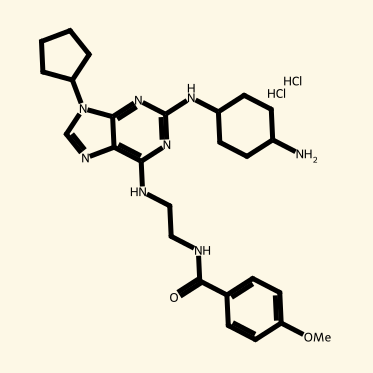 COc1ccc(C(=O)NCCNc2nc(NC3CCC(N)CC3)nc3c2ncn3C2CCCC2)cc1.Cl.Cl